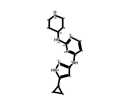 c1cc(Nc2cc(C3CC3)[nH]n2)nc(NC2CCNCC2)n1